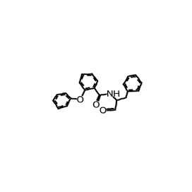 O=CC(Cc1ccccc1)NC(=O)c1ccccc1Oc1ccccc1